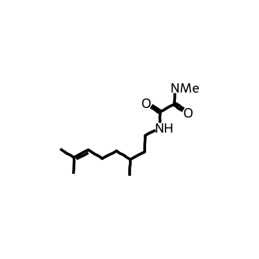 CNC(=O)C(=O)NCCC(C)CCC=C(C)C